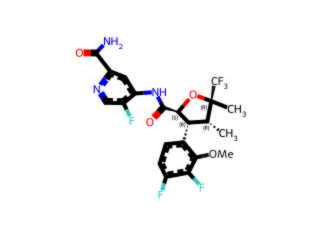 COc1c([C@@H]2[C@@H](C(=O)Nc3cc(C(N)=O)ncc3F)O[C@@](C)(C(F)(F)F)[C@@H]2C)ccc(F)c1F